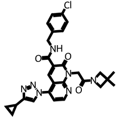 CC1(C)CN(C(=O)Cn2c(=O)c(C(=O)NCc3ccc(Cl)cc3)cc3c(-n4cc(C5CC5)nn4)ccnc32)C1